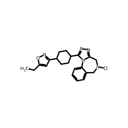 CCc1cc(C2CCC(c3nnc4n3-c3ccccc3CN(Cl)C4)CC2)no1